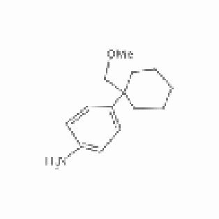 COCC1(c2ccc(N)cc2)CCCCC1